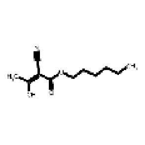 CCCCCCOC(=O)C(C#N)=C(C)C